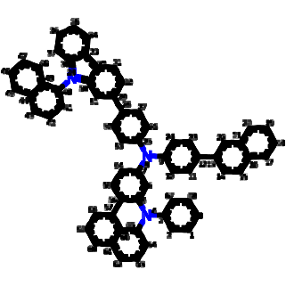 c1ccc(N2c3cc(N(c4ccc(-c5ccc6ccccc6c5)cc4)c4ccc(-c5ccc6c7ccccc7n(-c7cccc8ccccc78)c6c5)cc4)ccc3-c3cccc4cccc2c34)cc1